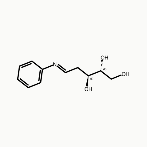 OC[C@@H](O)[C@@H](O)CC=Nc1ccccc1